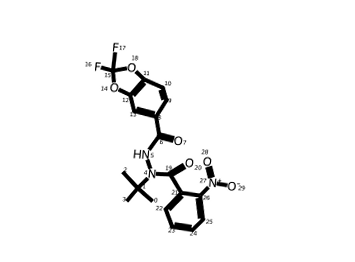 CC(C)(C)N(NC(=O)c1ccc2c(c1)OC(F)(F)O2)C(=O)c1ccccc1[N+](=O)[O-]